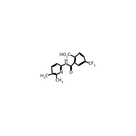 Cc1ccc(NC(=O)c2cc(C(F)(F)F)ccc2C(=O)O)nc1C